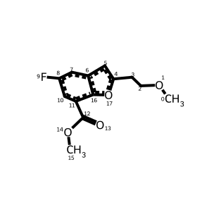 COCCc1cc2cc(F)cc(C(=O)OC)c2o1